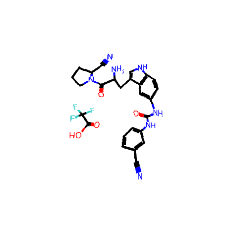 N#Cc1cccc(NC(=O)Nc2ccc3[nH]cc(CC(N)C(=O)N4CCCC4C#N)c3c2)c1.O=C(O)C(F)(F)F